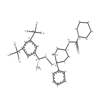 C[C@@H](OC[C@@]1(c2ccccc2)CCC(OC(=O)N2CCCCC2)CN1)c1cc(C(F)(F)F)cc(C(F)(F)F)c1